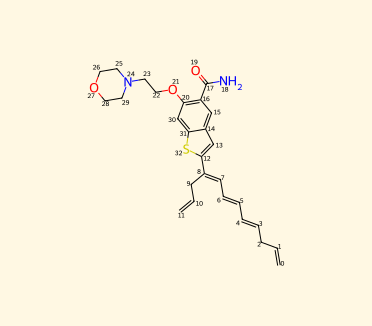 C=CCC=CC=CC=C(CC=C)c1cc2cc(C(N)=O)c(OCCN3CCOCC3)cc2s1